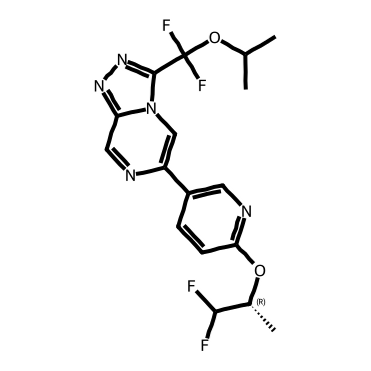 CC(C)OC(F)(F)c1nnc2cnc(-c3ccc(O[C@H](C)C(F)F)nc3)cn12